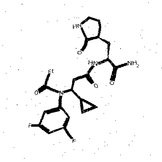 CCC(=O)N(c1cc(F)cc(F)c1)C(CC(=O)N[C@@H](C[C@@H]1CCNC1=O)C(N)=O)C1CC1